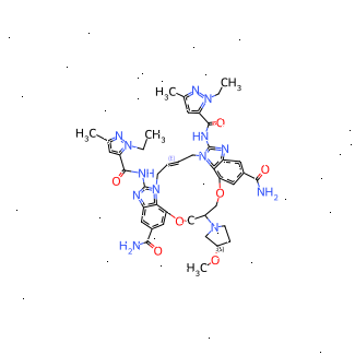 CCn1nc(C)cc1C(=O)Nc1nc2cc(C(N)=O)cc3c2n1C/C=C/Cn1c(NC(=O)c2cc(C)nn2CC)nc2cc(C(N)=O)cc(c21)OCC(N1CC[C@H](OC)C1)CO3